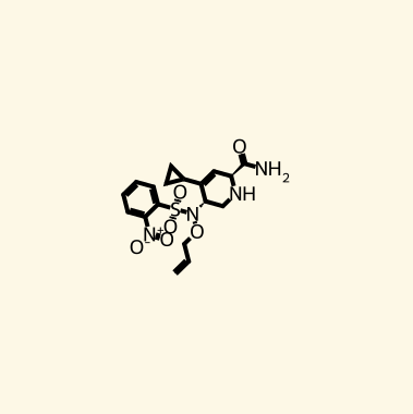 C=CCON([C@H]1CN[C@H](C(N)=O)C=C1C1CC1)S(=O)(=O)c1ccccc1[N+](=O)[O-]